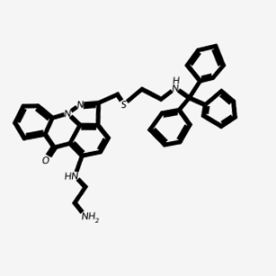 NCCNc1ccc2c(CSCCNC(c3ccccc3)(c3ccccc3)c3ccccc3)nn3c4ccccc4c(=O)c1c23